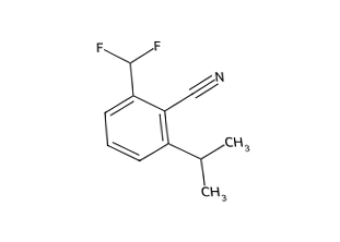 CC(C)c1cccc(C(F)F)c1C#N